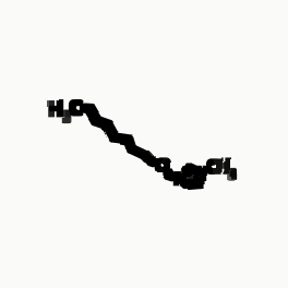 CCCCCCCCCOC[n+]1ccn(C)c1